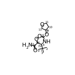 CC(C)(C)[C@H](NC(=O)O[C@H]1CCOC1)C(=O)C(N)=O